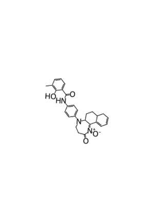 Cc1cccc(C(=O)Nc2ccc(N3CCC(=O)[N+]([O-])=C4C5=CC=CCC5CCC43)cc2)c1O